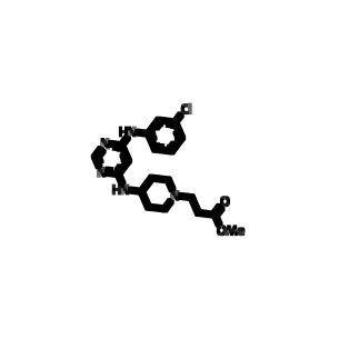 COC(=O)CCN1CCC(Nc2cc(Nc3cccc(Cl)c3)ncn2)CC1